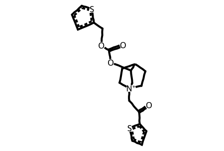 O=C(OCc1cccs1)OC1C[N+]2(CC(=O)c3cccs3)CCC1CC2